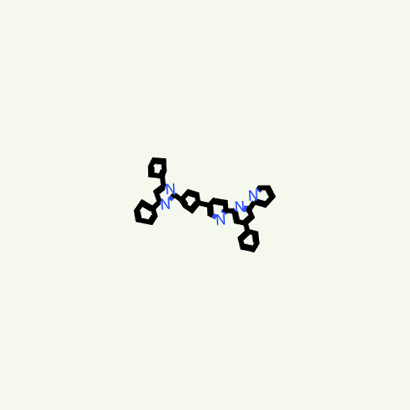 c1ccc(-c2cc(-c3ccccn3)nc(-c3ccc(-c4ccc(-c5nc(-c6ccccc6)cc(-c6ccccc6)n5)cc4)cn3)c2)cc1